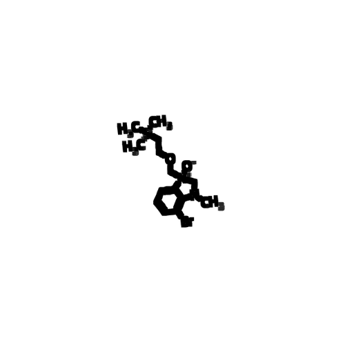 CN1C[N+]([O-])(COCC[Si](C)(C)C)c2cccc(Br)c21